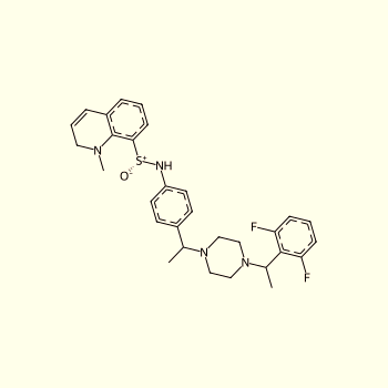 CC(c1ccc(N[S@+]([O-])c2cccc3c2N(C)CC=C3)cc1)N1CCN(C(C)c2c(F)cccc2F)CC1